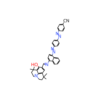 CC1(C)CCN2CCC(C)(C)c3c(O)c(/C=N/c4ccc(/N=N/c5ccc(/N=N/c6ccc(C#N)cc6)cc5)c5ccccc45)cc1c32